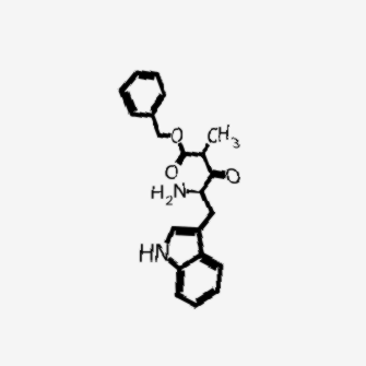 CC(C(=O)OCc1ccccc1)C(=O)[C@H](N)Cc1c[nH]c2ccccc12